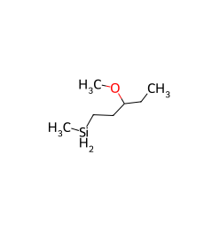 CCC(CC[SiH2]C)OC